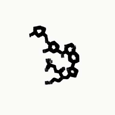 CSCCN(Cc1ccc(-c2ccc3ncnc(Nc4ccc(OCc5cccc(F)c5)c(Cl)c4)c3c2)o1)C(=O)CCC(N)=O